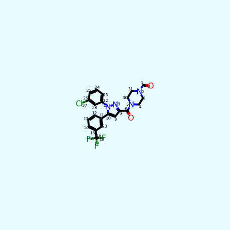 O=CN1CCN(C(=O)c2cc(-c3cccc(C(F)(F)F)c3)n(-c3cccc(Cl)c3)n2)CC1